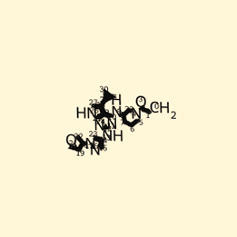 C=CC(=O)N1CCCC(Nc2nc(Nc3cnn(C4CCOC4)c3)nc3[nH]cc(C4CC4)c23)C1